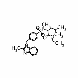 CCOC(=O)[C@H](CC(C)C)N(C)S(=O)(=O)c1ccc(Cn2c(C)nc3ccccc32)cc1